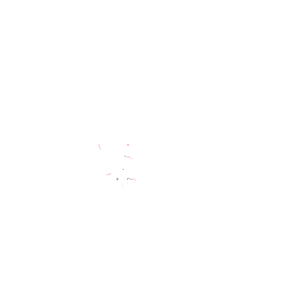 CCCCCCCCCCC(C(=O)O)C(OC(C)=O)(C(=O)O)C(CCCCCCCCCC)(CCCCCCCCCC)C(=O)O